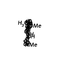 CNS(=O)(=O)c1cccc(OCC(O)CN[C@H]2COC3(CCN(S(=O)(=O)c4cc5c(nc4OC)OCCN5C)CC3)C2)c1